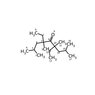 CCC(C)(CC(C)C)C(=O)C(C)(CC)CC(C)C